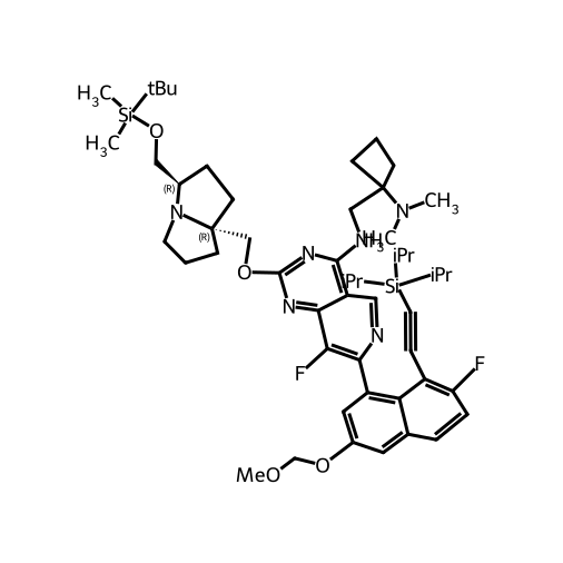 COCOc1cc(-c2ncc3c(NCC4(N(C)C)CCC4)nc(OC[C@]45CCCN4[C@@H](CO[Si](C)(C)C(C)(C)C)CC5)nc3c2F)c2c(C#C[Si](C(C)C)(C(C)C)C(C)C)c(F)ccc2c1